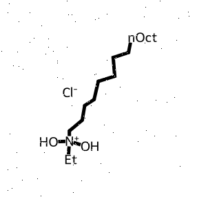 CCCCCCCCCCCCCCCC[N+](O)(O)CC.[Cl-]